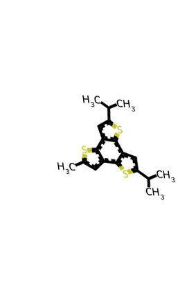 Cc1cc2c(s1)c1cc(C(C)C)sc1c1cc(C(C)C)sc21